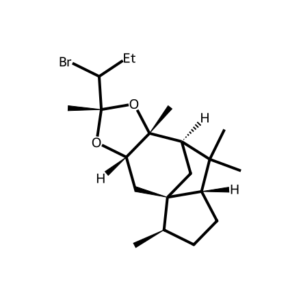 CCC(Br)[C@@]1(C)O[C@H]2C[C@@]34C[C@H](C(C)(C)[C@@H]3CC[C@H]4C)[C@@]2(C)O1